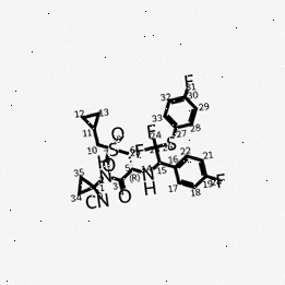 N#CC1(NC(=O)[C@H](CS(=O)(=O)CC2CC2)NC(c2ccc(F)cc2)C(F)(F)Sc2ccc(F)cc2)CC1